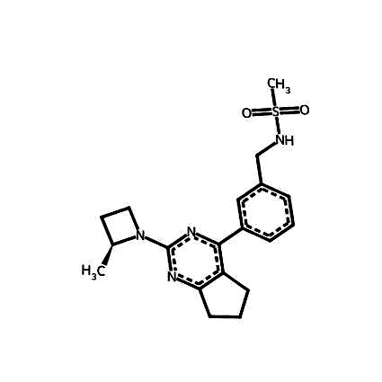 C[C@H]1CCN1c1nc2c(c(-c3cccc(CNS(C)(=O)=O)c3)n1)CCC2